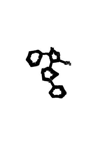 Cc1onc(-c2ccccc2)c1-c1cn(-c2ccccc2)cn1